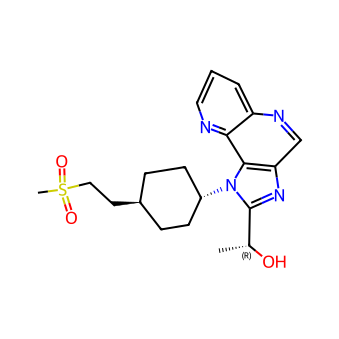 C[C@@H](O)c1nc2cnc3cccnc3c2n1[C@H]1CC[C@H](CCS(C)(=O)=O)CC1